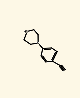 C#Cc1ccc(N2CCNCC2)cc1